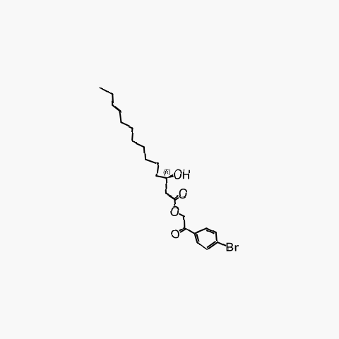 CCCCCCCCCCC[C@@H](O)CC(=O)OCC(=O)c1ccc(Br)cc1